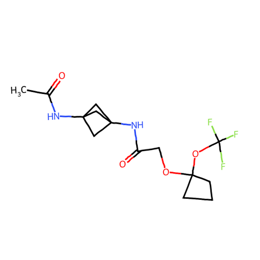 CC(=O)NC12CC(NC(=O)COC3(OC(F)(F)F)CCC3)(C1)C2